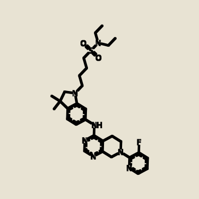 CCN(CC)S(=O)(=O)CCCCN1CC(C)(C)c2ccc(Nc3ncnc4c3CCN(c3ncccc3F)C4)cc21